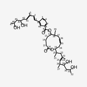 CC(C=Cc1cccc(C(=O)OC2CCCC(=O)OC(C(C)CC(C)=CC(C)C(O)CC(C)O)CC=CCC2C)c1)=CCC(O)CC(C)O